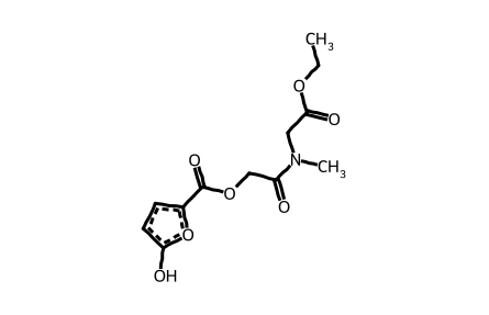 CCOC(=O)CN(C)C(=O)COC(=O)c1ccc(O)o1